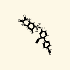 C#Cc1cc(NS(=O)(=O)c2cc3[nH]c(=O)c(=O)[nH]c3cc2C)ccc1-c1ccc(C#N)cc1